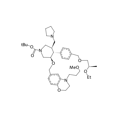 CCO[C@H](C)COCc1ccc([C@H]2[C@H](CN3CCCC3)CN(C(=O)OC(C)(C)C)C[C@@H]2OCc2ccc3c(c2)N(CCCOC)CCO3)cc1